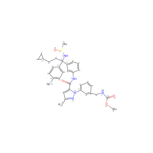 Cc1cc(C(=O)Nc2cccc(C(CCC3CC3)(N[S+]([O-])C(C)(C)C)c3ccc(C#N)cc3)c2)n(-c2cccc(CNC(=O)OC(C)(C)C)c2)n1